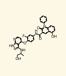 CC(CO)Nc1n[nH]c2nccc(Oc3ccc(NC(=O)c4cc5c(O)cccc5n(-c5ccccc5)c4=O)cc3F)c12